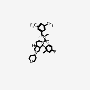 Cc1cc(F)ccc1[C@H]1C2CN(C3CCOCC3)C[C@H]2CCN1C(=O)N(C)[C@H](C)c1cc(C(F)(F)F)cc(C(F)(F)F)c1